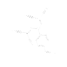 N#CC(C#N)=CN(N=C(C#N)C#N)c1ccc([N+](=O)[O-])cc1